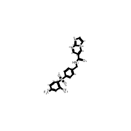 O=C(NCc1ccc(S(=O)(=O)c2ccc(C(F)(F)F)cc2C(F)(F)F)cc1)c1cnc2nccn2c1